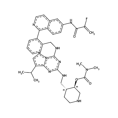 C=C(F)C(=O)Nc1ccc2c(-c3ccccc3CNc3nc(NC[C@H]4CCNC[C@@H]4OC(=O)N(C)C)nc4c(C(C)C)cnn34)nccc2c1